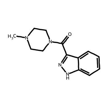 CN1CCN(C(=O)c2n[nH]c3ccccc23)CC1